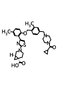 Cc1ccc(OCc2ccc(CN3CCN(C(=O)C4CC4)CC3)cc2C)c(-c2csc(N3CC[C@@]4(C(=O)O)C[C@H]4C3)n2)c1